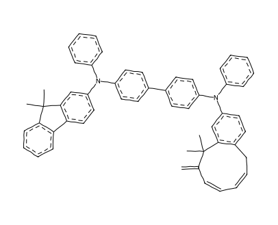 C=C1/C=C\C=C/Cc2ccc(N(c3ccccc3)c3ccc(-c4ccc(N(c5ccccc5)c5ccc6c(c5)C(C)(C)c5ccccc5-6)cc4)cc3)cc2C1(C)C